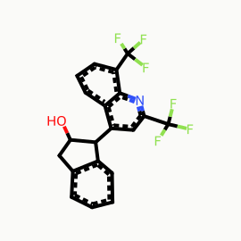 OC1Cc2ccccc2C1c1cc(C(F)(F)F)nc2c(C(F)(F)F)cccc12